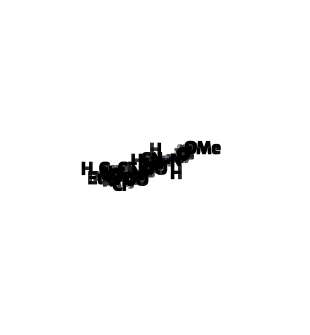 CCc1nc2c(Cl)c(-c3cccc(NC(=O)c4ccc(NC(=O)/C=C/CNC5CCC(OC)CC5)c(C#N)c4)c3)c(C(F)(F)F)cc2n1C